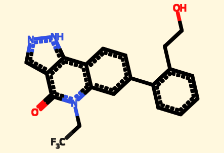 O=c1c2cn[nH]c2c2ccc(-c3ccccc3CCO)cc2n1CC(F)(F)F